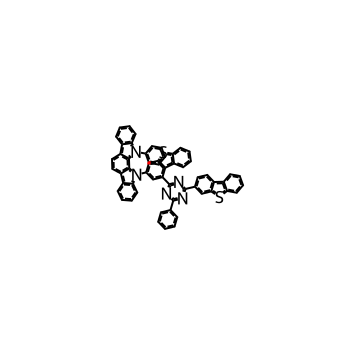 c1ccc(-c2nc(-c3ccc4c(c3)sc3ccccc34)nc(-c3cc(-n4c5ccccc5c5ccc6c7ccccc7n(-c7ccccc7)c6c54)cc4sc5ccccc5c34)n2)cc1